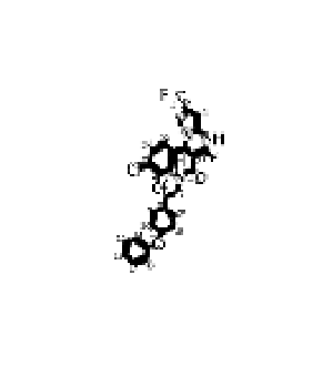 CC1=C(C(=O)NCCc2ccc(Oc3ccccc3)cc2)C(c2ccc(Cl)c(Cl)c2)n2nc(C(F)(F)F)cc2N1